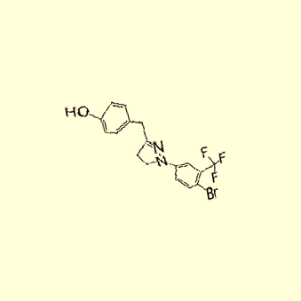 Oc1ccc(CC2=NN(c3ccc(Br)c(C(F)(F)F)c3)CC2)cc1